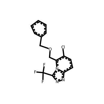 FC(F)(F)c1nnc2ccc(Cl)c(COCc3ccccc3)n12